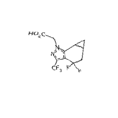 O=C(O)Cn1nc(C(F)(F)F)c2c1C1CC1CC2(F)F